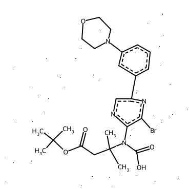 CC(C)(C)OC(=O)CC(C)(C)N(C(=O)O)c1ncc(-c2cccc(N3CCOCC3)c2)nc1Br